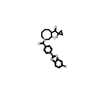 NC1(C(=O)C2CCCCN(C(=O)c3ccc(-c4nc5ccc(F)cc5o4)cc3)CC2)CC1